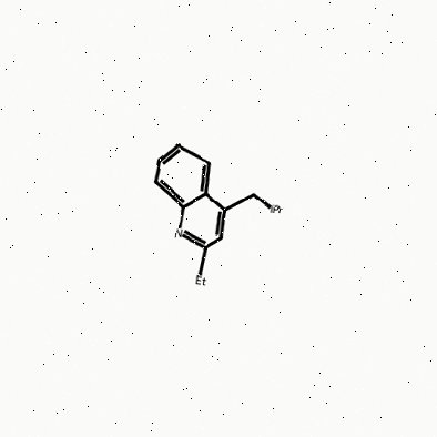 CCc1cc(CC(C)C)c2ccccc2n1